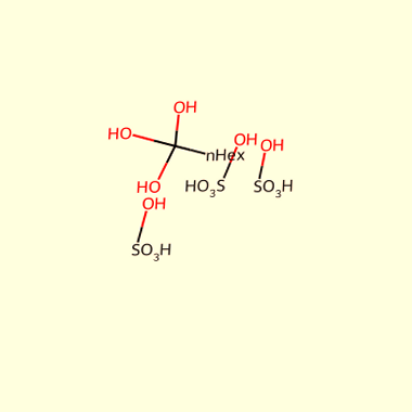 CCCCCCC(O)(O)O.O=S(=O)(O)O.O=S(=O)(O)O.O=S(=O)(O)O